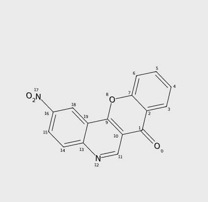 O=c1c2ccccc2oc2c1cnc1ccc([N+](=O)[O-])cc12